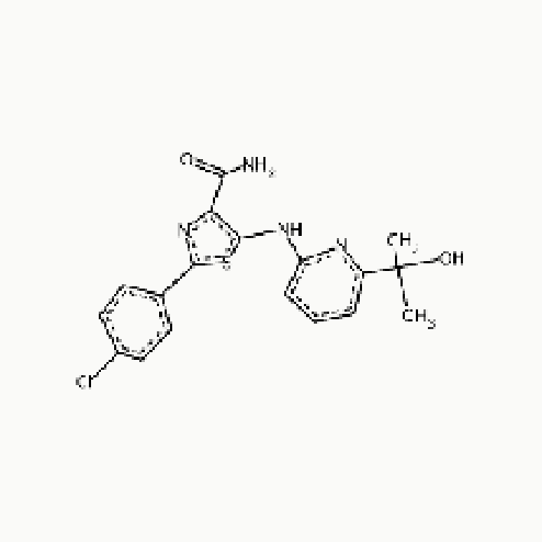 CC(C)(O)c1cccc(Nc2sc(-c3ccc(Cl)cc3)nc2C(N)=O)n1